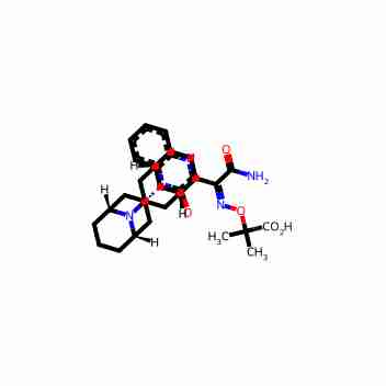 CC(C)(O/N=C(\C(N)=O)c1nc2ccccc2n([C@H]2C[C@H]3CCC[C@@H](C2)N3C2C[C@H]3CCC[C@@H](C2)C3)c1=O)C(=O)O